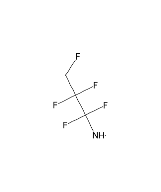 [NH]C(F)(F)C(F)(F)CF